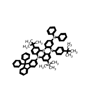 CC(C)(C)c1ccc(N2c3cc(N(c4ccccc4)c4ccccc4)ccc3B3c4cc(C(C)(C)C)ccc4N(c4ccc5c(c4)C(c4ccccc4)(c4ccccc4)c4ccccc4-5)c4cc([Si](C)(C)C)cc2c43)cc1